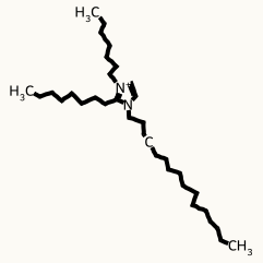 CCCCCCCCCCCCCCCCn1cc[n+](CCCCCCC)c1CCCCCCCC